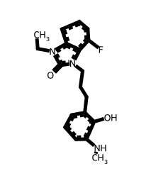 CCn1c(=O)n(CCCc2cccc(NC)c2O)c2c(F)cccc21